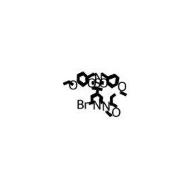 CCOc1ccc(CN(Cc2ccc(OCC)cc2)S(=O)(=O)C(C)(C)c2cc(Br)nc(N3CCOCC3CC)c2)cc1